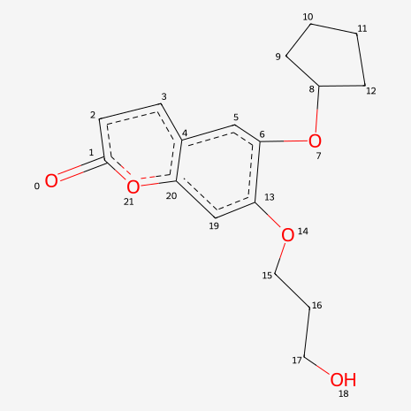 O=c1ccc2cc(OC3CCCC3)c(OCCCO)cc2o1